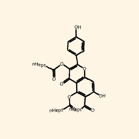 CCCCCCCC(=O)Oc1c(-c2ccc(O)cc2)oc2cc(O)c(C(=O)CCCCCCC)c(OC(=O)CCCCCCC)c2c1=O